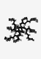 CCCCC(CC)C[C]1(CC(CC)CCCC)S[S](CC(CC)CCCC)(CC(CC)CCCC)[SnH2]1